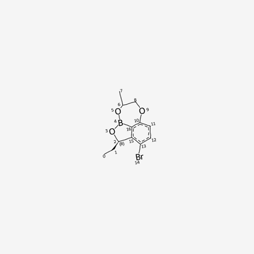 CC[C@H]1OB2OC(C)COc3ccc(Br)c1c32